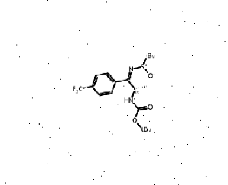 C[C@H](NC(=O)OC(C)(C)C)C(=N[S+]([O-])C(C)(C)C)c1ccc(C(F)(F)F)cc1